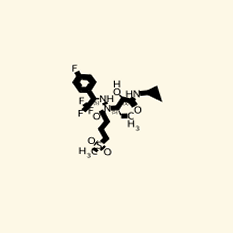 CC[C@@H]([C@H](O)C(=O)NC1CC1)N(N[C@@H](c1ccc(F)cc1)C(F)(F)F)C(=O)CCCS(C)(=O)=O